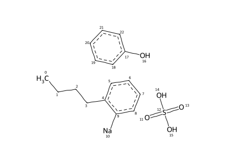 CCCCc1cccc[c]1[Na].O=S(=O)(O)O.Oc1ccccc1